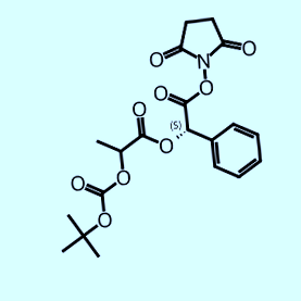 CC(OC(=O)OC(C)(C)C)C(=O)O[C@H](C(=O)ON1C(=O)CCC1=O)c1ccccc1